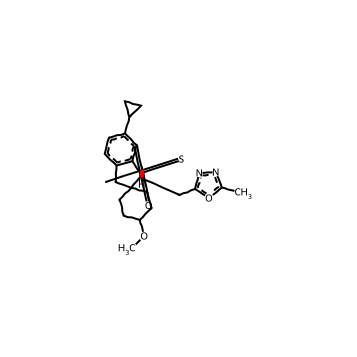 COC1CCC2(CC1)Cc1ccc(C3CC3)cc1C21NC(=S)N(Cc2nnc(C)o2)C1=O